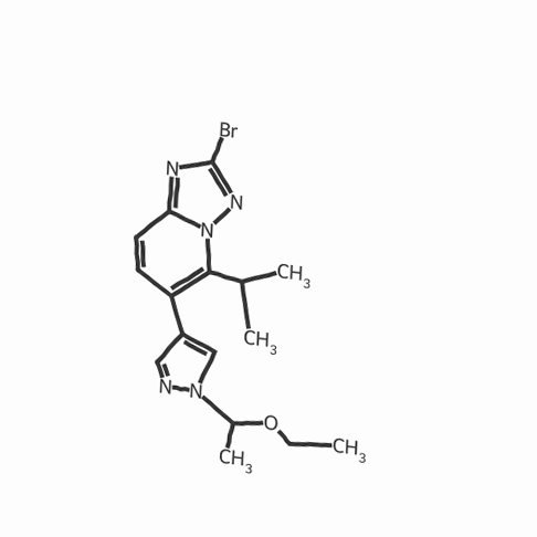 CCOC(C)n1cc(-c2ccc3nc(Br)nn3c2C(C)C)cn1